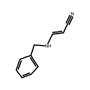 N#CC=CNCc1ccccc1